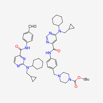 CC(C)(C)OC(=O)N1CCN(Cc2ccc(NC(=O)c3cc(N(CC4CC4)C4CCCCC4)ncn3)cc2)CC1.O=Cc1ccc(NC(=O)c2ccnc(N(CC3CC3)C3CCCCC3)n2)cc1